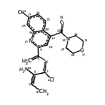 C=C(/C=C(Cl)\C(N)=C/C)c1cc(C(=O)N2CCOCC2)c2ccc(Cl)cc2n1